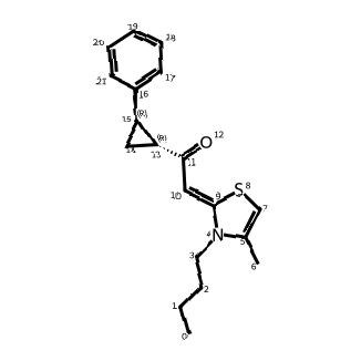 CCCCN1C(C)=CSC1=CC(=O)[C@@H]1C[C@H]1c1ccccc1